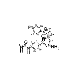 CNC(=O)Nc1ccc(-c2nc(N)cc(C3(S(=O)(=O)c4ccc(F)cc4)CC3)n2)cc1